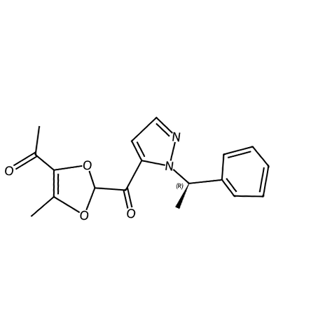 CC(=O)C1=C(C)OC(C(=O)c2ccnn2[C@H](C)c2ccccc2)O1